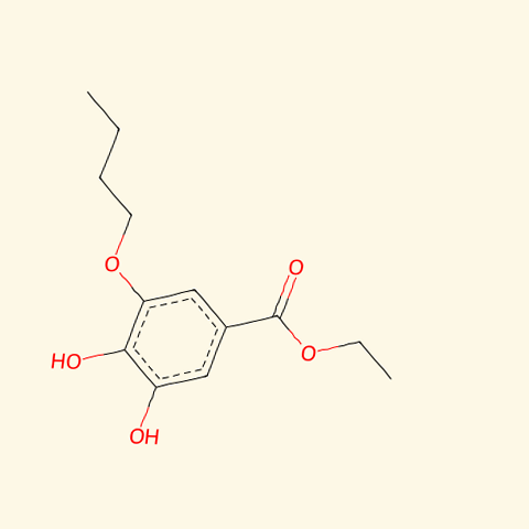 CCCCOc1cc(C(=O)OCC)cc(O)c1O